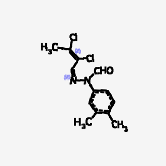 C/C(Cl)=C(Cl)\C=N/N(C=O)c1ccc(C)c(C)c1